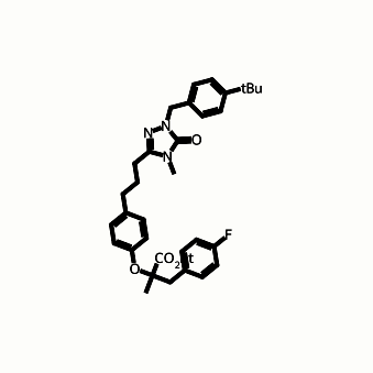 CCOC(=O)C(C)(Cc1ccc(F)cc1)Oc1ccc(CCCc2nn(Cc3ccc(C(C)(C)C)cc3)c(=O)n2C)cc1